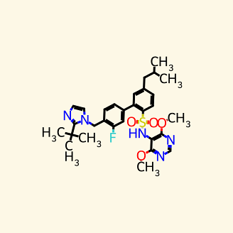 COc1ncnc(OC)c1NS(=O)(=O)c1ccc(CC(C)C)cc1-c1ccc(Cn2ccnc2C(C)(C)C)c(F)c1